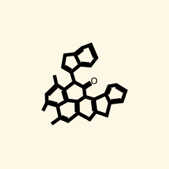 Cc1cc(C)c2c(C)cc3c4c2c1C(C1=CCc2ccccc21)C(=O)C4C1=C(Cc2ccccc21)C3